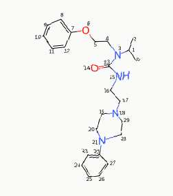 CC(C)N(CCOc1ccccc1)C(=O)NCCN1CCN(c2ccccc2)CC1